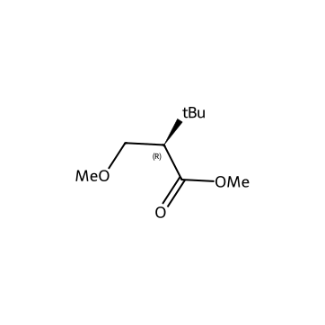 COC[C@H](C(=O)OC)C(C)(C)C